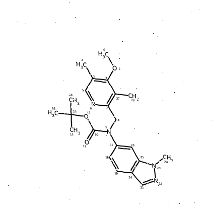 COc1c(C)cnc(CN(C(=O)OC(C)(C)C)c2ccc3cnn(C)c3c2)c1C